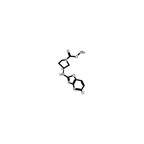 CC(C)(C)OC(=O)N1CC[C@H](Nc2nc3nc(Cl)ccc3o2)C1